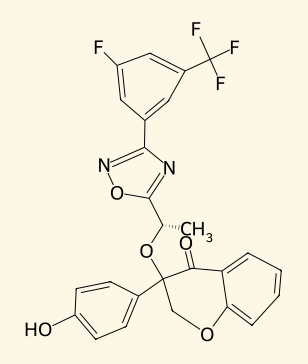 C[C@H](OC1(c2ccc(O)cc2)COc2ccccc2C1=O)c1nc(-c2cc(F)cc(C(F)(F)F)c2)no1